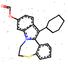 O=COc1ccc2c(C3CCCCC3)c3n(c2c1)CCSc1ccccc1-3